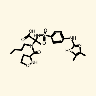 CCCCN(C(=O)C1CCON1)C(C)(NS(=O)(=O)c1ccc(Nc2nc(C)c(C)[nH]2)cc1)C(=O)O